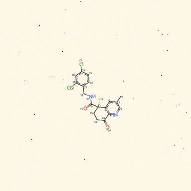 Cc1cnc2c(c1)C(F)(C(=O)NCc1ccc(Cl)cc1Cl)CCC2=O